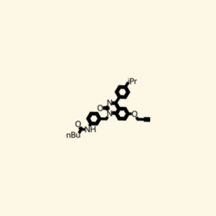 C#CCOc1ccc2c(c1)c(-c1ccc(C(C)C)cc1)nc(=O)n2Cc1cccc(NC(=O)CCCC)c1